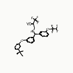 CC(C)(C)c1cccc(Oc2cccc(C(NCC(O)C(F)(F)F)c3cccc(OC(F)(F)C(F)F)c3)c2)c1